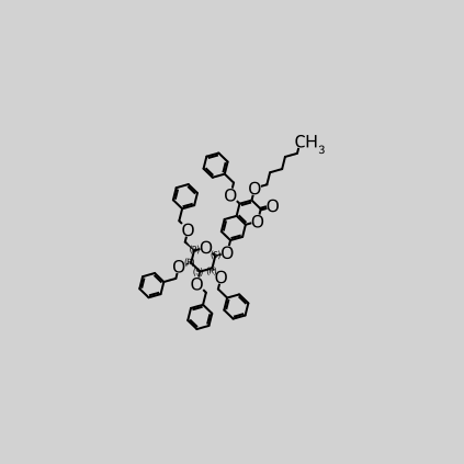 CCCCCCOc1c(OCc2ccccc2)c2ccc(O[C@@H]3O[C@H](COCc4ccccc4)[C@@H](OCc4ccccc4)[C@H](OCc4ccccc4)[C@H]3OCc3ccccc3)cc2oc1=O